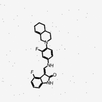 O=C1Nc2cccc(F)c2C1=CNc1ccc(N2CCC3CCCC=C3C2)c(F)c1